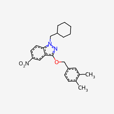 Cc1ccc(COc2nn(CC3CCCCC3)c3ccc([N+](=O)[O-])cc23)cc1C